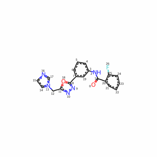 O=C(Nc1cccc(-c2nnc(Cn3ccnc3)o2)c1)c1ccccc1F